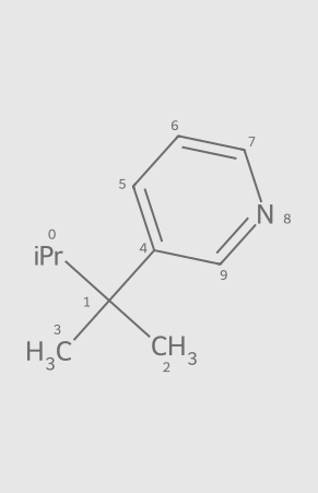 CC(C)C(C)(C)c1cccnc1